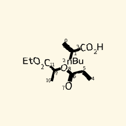 C=C(CCCC)C(=O)O.C=CC(=O)OC(C)C(=O)OCC